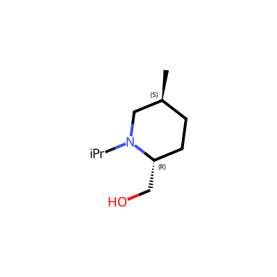 CC(C)N1C[C@@H](C)CC[C@@H]1CO